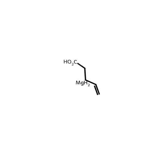 C=CCCC(=O)O.[MgH2]